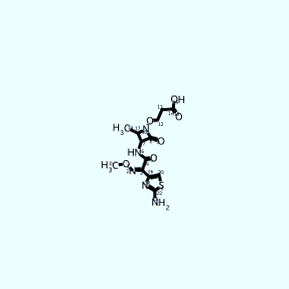 CON=C(C(=O)NC1C(=O)N(OCCC(=O)O)C1C)c1csc(N)n1